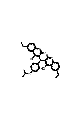 CCc1ccc2oc(=O)c(C(c3ccc(OC(C)C)cc3)c3c(O)c4cc(CC)ccc4oc3=O)c(O)c2c1